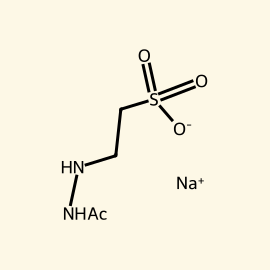 CC(=O)NNCCS(=O)(=O)[O-].[Na+]